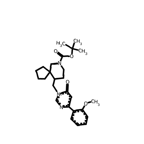 COc1ccccc1-c1cc(=O)n(CC2CCN(C(=O)OC(C)(C)C)CC23CCCC3)cn1